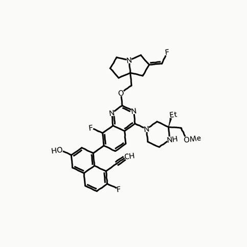 C#Cc1c(F)ccc2cc(O)cc(-c3ccc4c(N5CCN[C@@](CC)(COC)C5)nc(OCC56CCCN5C/C(=C\F)C6)nc4c3F)c12